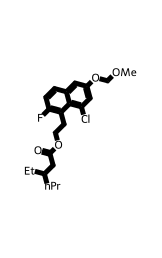 CCCC(CC)CC(=O)OCCc1c(F)ccc2cc(OCOC)cc(Cl)c12